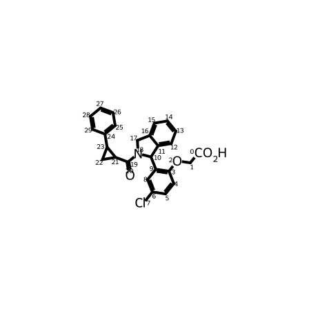 O=C(O)COc1ccc(Cl)cc1C1c2ccccc2CN1C(=O)C1CC1c1ccccc1